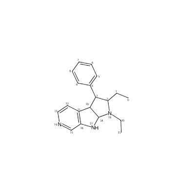 CCC1C(c2ccccc2)C2c3ccncc3NC2N1CC